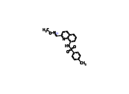 CO/N=C/c1ccc2cccc(NS(=O)(=O)c3ccc(C)cc3)c2n1